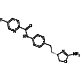 NC1=N[C@@H](CCc2ccc(NC(=O)c3ccc(F)cn3)cc2)CO1